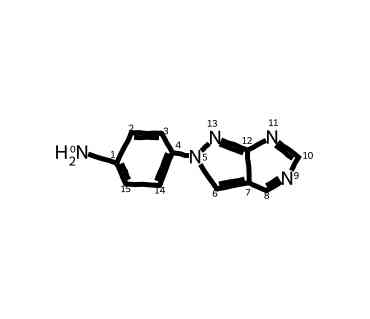 Nc1ccc(-n2cc3cncnc3n2)cc1